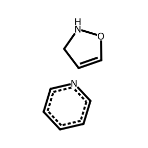 C1=CONC1.c1ccncc1